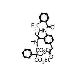 CCOC(=O)C(COC(=O)Cc1ccc(NC(=O)c2ccccc2C(F)(F)F)c(C(=O)N(C)C)c1)(C(=O)OCC)c1ccccc1